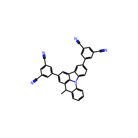 CC1c2ccccc2-n2c3ccc(-c4cc(C#N)cc(C#N)c4)cc3c3cc(-c4cc(C#N)cc(C#N)c4)cc1c32